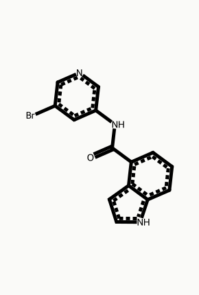 O=C(Nc1cncc(Br)c1)c1cccc2[nH]ccc12